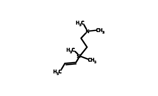 CC=C[Si](C)(C)CCN(C)C